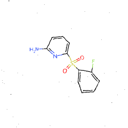 Nc1cccc(S(=O)(=O)c2ccccc2F)n1